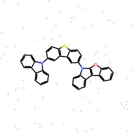 c1ccc2c(c1)oc1c2c2ccccc2n1-c1ccc2sc3ccc(-n4c5ccccc5c5ccccc54)cc3c2c1